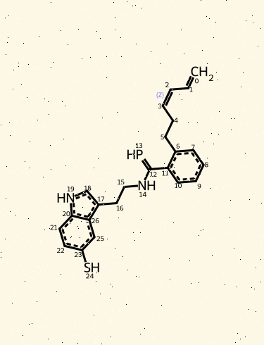 C=C/C=C\CCc1ccccc1C(=P)NCCc1c[nH]c2ccc(S)cc12